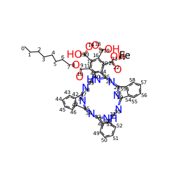 CCCCCCCCOC(=O)c1c(C(=O)O)c(C(=O)O)c(C(=O)O)c2c3nc4nc(nc5[nH]c(nc6nc(nc([nH]3)c12)-c1ccccc1-6)c1ccccc51)-c1ccccc1-4.[Fe]